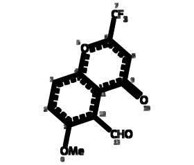 COc1ccc2oc(C(F)(F)F)cc(=O)c2c1C=O